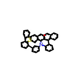 c1cc(-c2cccc3c2sc2ccccc23)cc(N(c2ccccc2-c2cccc3ccccc23)c2cccc3ccccc23)c1